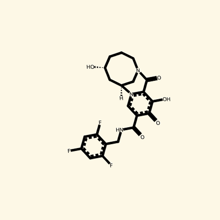 O=C(NCc1c(F)cc(F)cc1F)c1cn2c(c(O)c1=O)C(=O)N1CCC[C@@H](O)C[C@H]2C1